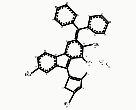 CC1=C(C2=c3c(cc(=C(c4ccccc4)c4ccccc4)c(C(C)(C)C)[c]3[Zr+2])-c3ccc(C(C)(C)C)cc32)CC(C(C)(C)C)=C1.[Cl-].[Cl-]